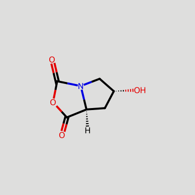 O=C1OC(=O)N2C[C@H](O)C[C@@H]12